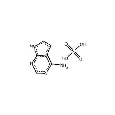 Nc1ncnc2[nH]ccc12.O=S(=O)(O)O